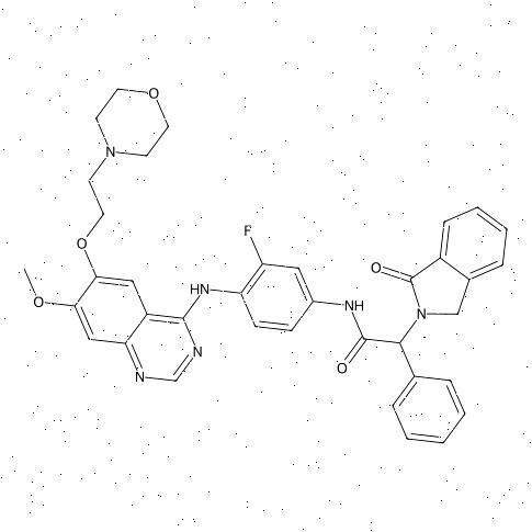 COc1cc2ncnc(Nc3ccc(NC(=O)C(c4ccccc4)N4Cc5ccccc5C4=O)cc3F)c2cc1OCCN1CCOCC1